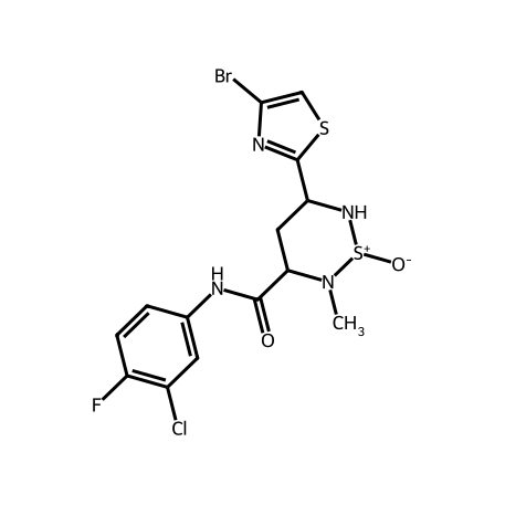 CN1C(C(=O)Nc2ccc(F)c(Cl)c2)CC(c2nc(Br)cs2)N[S+]1[O-]